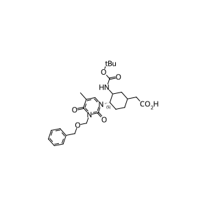 Cc1cn([C@H]2CCC(CC(=O)O)CC2NC(=O)OC(C)(C)C)c(=O)n(COCc2ccccc2)c1=O